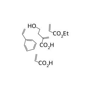 C=C(CCO)C(=O)O.C=CC(=O)O.C=CC(=O)OCC.C=Cc1ccccc1